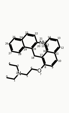 CCN(CC)CCOc1ccc2ccccc2c1Cc1c(N)ccc2ccccc12